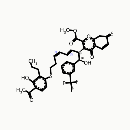 CCCc1c(SCC/C=C\C=C\[C@@H](c2c(C(=O)OC)oc3c(c2=O)C=CC(=S)C3)[C@@H](O)c2cccc(C(F)(F)F)c2)ccc(C(C)=O)c1O